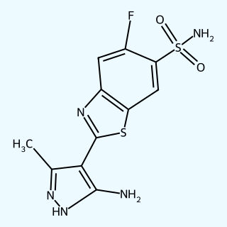 Cc1n[nH]c(N)c1-c1nc2cc(F)c(S(N)(=O)=O)cc2s1